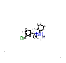 N[C@](Cc1ccccc1)(C(=O)O)c1cccc(Br)c1